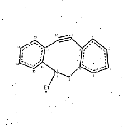 CCN1Cc2ccccc2C#Cc2ccccc21